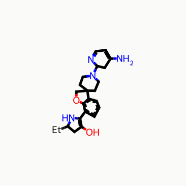 CCC1CC(O)=C(c2cccc3c2OCC32CCN(C3CC(N)=CC=N3)CC2)N1